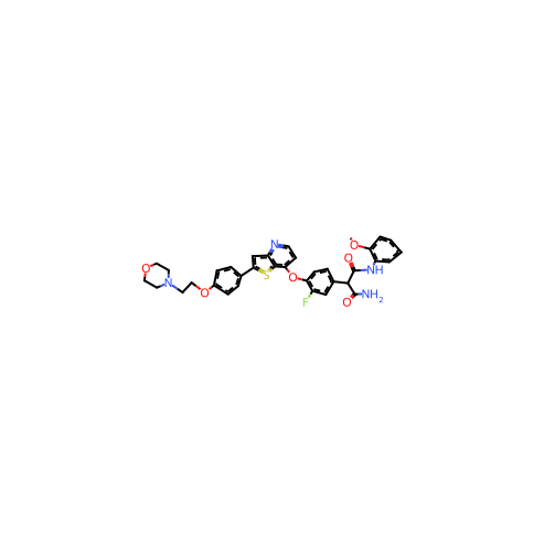 COc1ccccc1NC(=O)C(C(N)=O)c1ccc(Oc2ccnc3cc(-c4ccc(OCCN5CCOCC5)cc4)sc23)c(F)c1